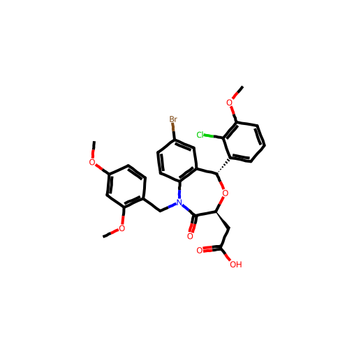 COc1ccc(CN2C(=O)[C@H](CC(=O)O)O[C@@H](c3cccc(OC)c3Cl)c3cc(Br)ccc32)c(OC)c1